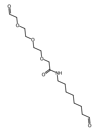 O=CCCCCCCCNC(=O)COCCOCCOCC=O